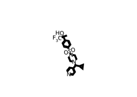 CC(O)(c1ccc(S(=O)(=O)N2CCN(C(c3ccncc3)C3CC3)CC2)cc1)C(F)(F)F